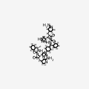 C[C@@H](NC(=O)N1C(=O)[C@H](Cc2ccnc(N)c2)[C@H]1c1cn(-c2ccc(C(NC(=O)N3C(=O)[C@H](Cc4ccnc(N)c4)[C@H]3c3nn[nH]n3)c3ccccc3)cc2)nn1)c1ccccc1